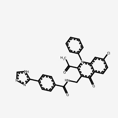 CC(=O)c1c(CNC(=O)c2ccc(-c3nnc[nH]3)cc2)c(=O)c2ccc(Cl)cc2n1-c1ccccc1